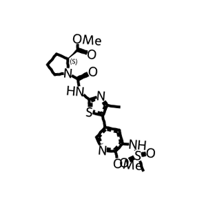 COC(=O)[C@@H]1CCCN1C(=O)Nc1nc(C)c(-c2cnc(OC)c(NS(C)(=O)=O)c2)s1